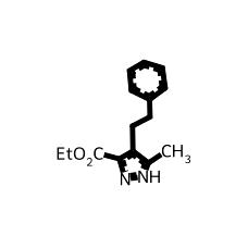 CCOC(=O)c1n[nH]c(C)c1CCc1ccccc1